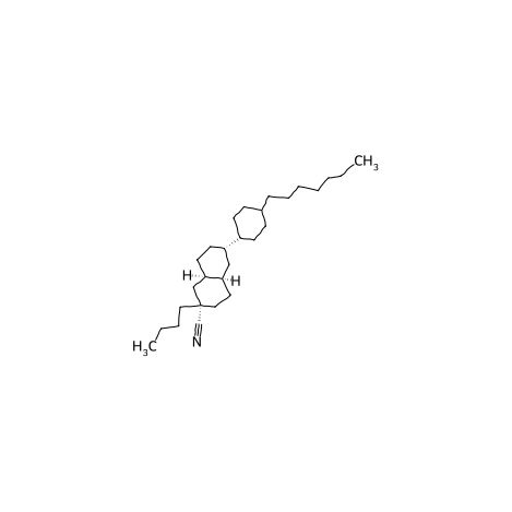 CCCCCCCC1CCC([C@H]2CC[C@@H]3C[C@](C#N)(CCCC)CC[C@@H]3C2)CC1